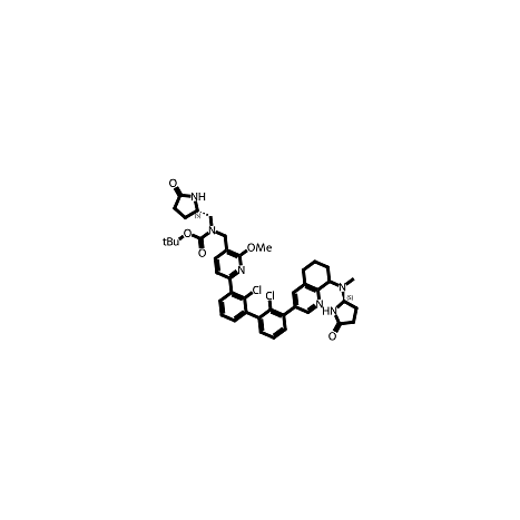 COc1nc(-c2cccc(-c3cccc(-c4cnc5c(c4)CCCC5N(C)[C@H]4CCC(=O)N4)c3Cl)c2Cl)ccc1CN(C[C@@H]1CCC(=O)N1)C(=O)OC(C)(C)C